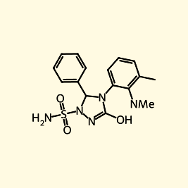 CNc1c(C)cccc1N1C(O)=NN(S(N)(=O)=O)C1c1ccccc1